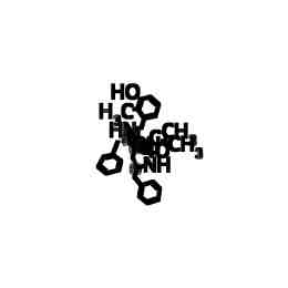 Cc1c(O)cccc1CN[C@@H](Cc1ccccc1)[C@@H](O)C[C@H](Cc1ccccc1)NC(=O)OC(C)(C)C